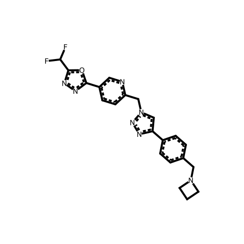 FC(F)c1nnc(-c2ccc(Cn3cc(-c4ccc(CN5CCC5)cc4)nn3)nc2)o1